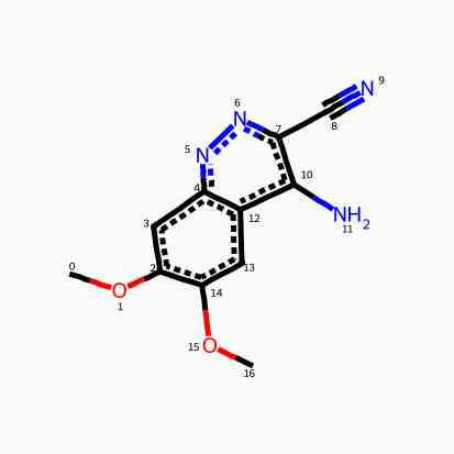 COc1cc2nnc(C#N)c(N)c2cc1OC